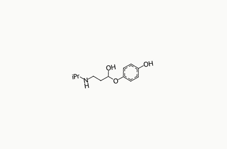 CC(C)NCCC(O)Oc1ccc(O)cc1